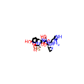 N[C@@H](Cc1c[nH]cn1)C(=O)N[C@H](Cc1cccnc1)C(=O)N[C@@H](CO)C(=O)N[C@@H](Cc1ccc(O)cc1)C(=O)N[C@H](CS)C(=O)O